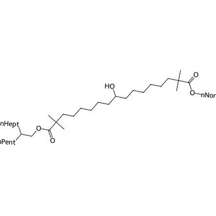 CCCCCCCCCOC(=O)C(C)(C)CCCCCCC(O)CCCCCCC(C)(C)C(=O)OCC(CCCCC)CCCCCCC